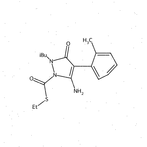 CCSC(=O)n1c(N)c(-c2ccccc2C)c(=O)n1C(C)CC